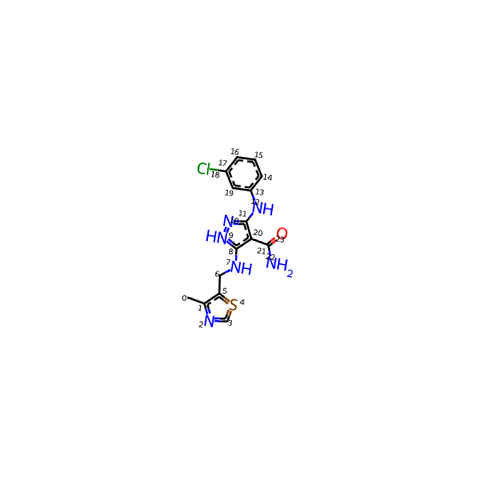 Cc1ncsc1CNc1[nH]nc(Nc2cccc(Cl)c2)c1C(N)=O